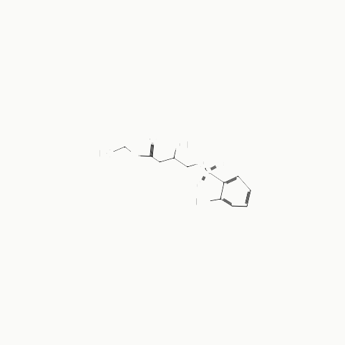 CCOC(=O)CC(O)COS(=O)(=O)c1ccccc1C